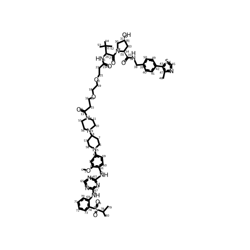 COc1cc(N2CCC(N3CCN(C(=O)CCOCCOCCC(=O)NC(C(=O)N4C[C@H](O)C[C@H]4C(=O)NCc4ccc(-c5scnc5C)cc4)C(C)(C)C)CC3)CC2)ccc1Nc1ncnc(Nc2ccccc2S(=O)(=O)C(C)C)n1